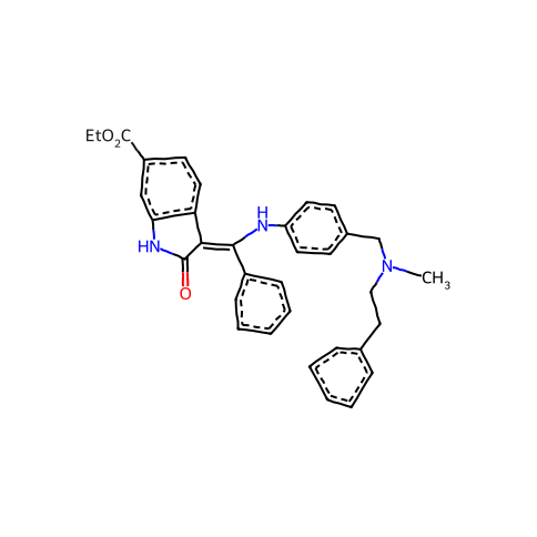 CCOC(=O)c1ccc2c(c1)NC(=O)C2=C(Nc1ccc(CN(C)CCc2ccccc2)cc1)c1ccccc1